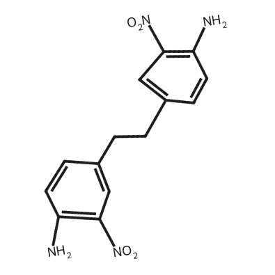 Nc1ccc(CCc2ccc(N)c([N+](=O)[O-])c2)cc1[N+](=O)[O-]